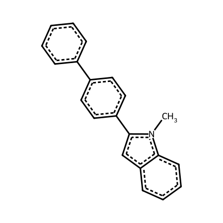 Cn1c(-c2ccc(-c3ccccc3)cc2)cc2ccccc21